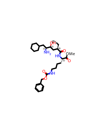 COC(=O)[C@H](CCCCNC(=O)OCc1ccccc1)NC(=O)[C@H](CC(C)C)C[C@H](O)[C@@H](N)CC1CCCCC1